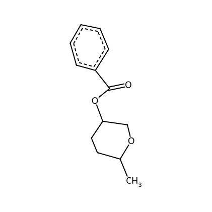 CC1CCC(OC(=O)c2ccccc2)CO1